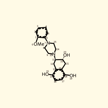 COc1ccccc1N1CCN([C@@H]2Cc3c(O)ccc(O)c3C[C@H]2O)CC1